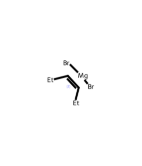 [Br][Mg][Br].[CH2]C/C=C\CC